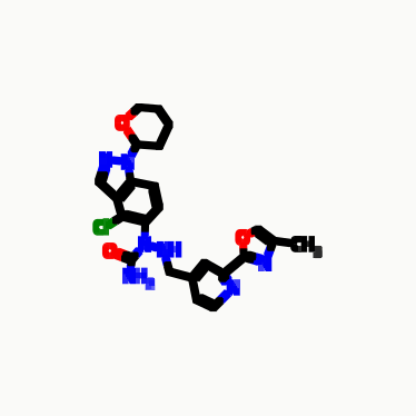 Cc1coc(-c2cc(CNN(C(N)=O)c3ccc4c(cnn4C4CCCCO4)c3Cl)ccn2)n1